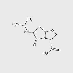 CC(=O)[C@H]1CSC2C[C@@H](NC(C)C)C(=O)N21